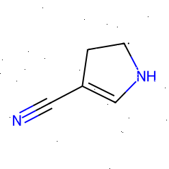 N#CC1=CN[CH]C1